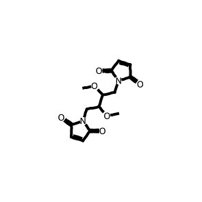 COC(CN1C(=O)C=CC1=O)C(CN1C(=O)C=CC1=O)OC